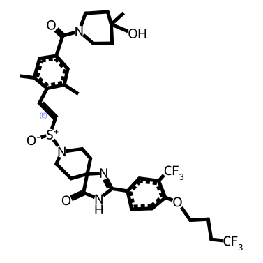 Cc1cc(C(=O)N2CCC(C)(O)CC2)cc(C)c1/C=C/[S+]([O-])N1CCC2(CC1)N=C(c1ccc(OCCCC(F)(F)F)c(C(F)(F)F)c1)NC2=O